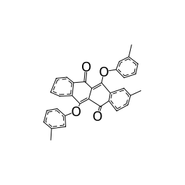 Cc1cccc(OC2=C3C(=O)c4ccc(C)cc4C(Oc4cccc(C)c4)=C3C(=O)c3ccccc32)c1